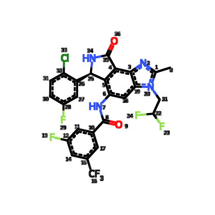 Cc1nc2c3c(c(NC(=O)c4cc(F)cc(C(F)(F)F)c4)cc2n1CC(F)F)[C@@H](c1cc(F)ccc1Cl)NC3=O